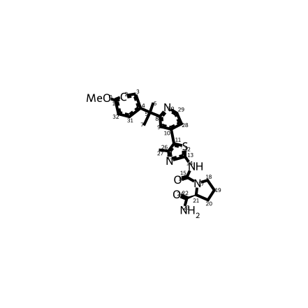 COc1ccc(C(C)(C)c2cc(-c3sc(NC(=O)N4CCC[C@H]4C(N)=O)nc3C)ccn2)cc1